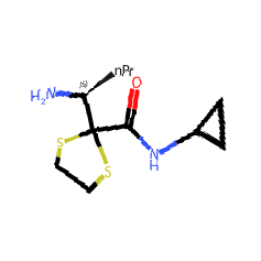 CCC[C@H](N)C1(C(=O)NC2CC2)SCCS1